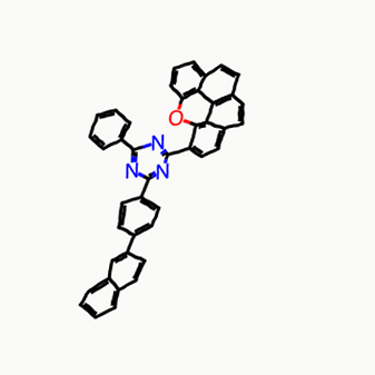 c1ccc(-c2nc(-c3ccc(-c4ccc5ccccc5c4)cc3)nc(-c3ccc4ccc5ccc6cccc7c6c5c4c3O7)n2)cc1